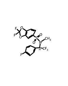 CN([C@H](c1ccc(F)cc1)C(F)(F)F)S(=O)(=O)c1ccc2c(c1)OC(F)(F)O2